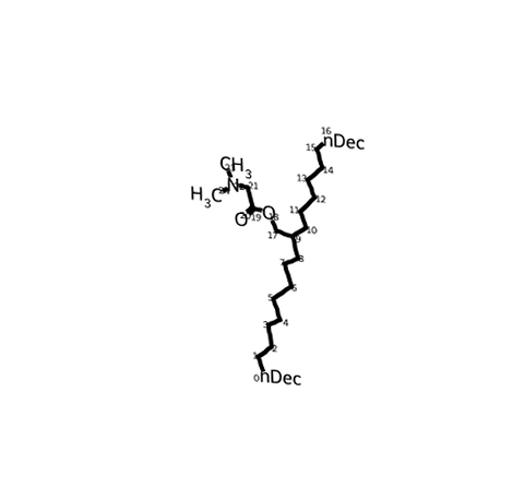 CCCCCCCCCCCCCCCCCCC(CCCCCCCCCCCCCCCC)COC(=O)CN(C)C